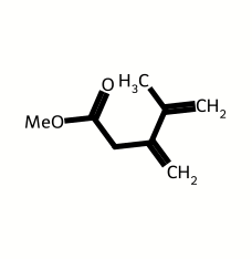 C=C(C)C(=C)CC(=O)OC